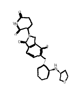 O=C1CCC(N2Cc3c(ccc(C[C@H]4CCCC[C@@H]4N[C@H]4CCOC4)c3F)C2=O)C(=O)N1